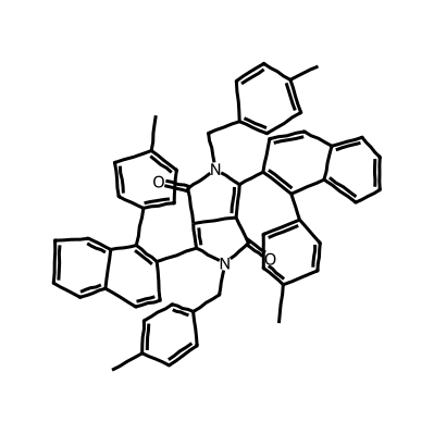 Cc1ccc(CN2C(=O)C3=C(c4ccc5ccccc5c4-c4ccc(C)cc4)N(Cc4ccc(C)cc4)C(=O)C3=C2c2ccc3ccccc3c2-c2ccc(C)cc2)cc1